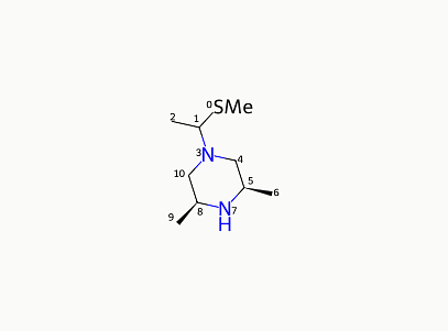 CSC(C)N1C[C@@H](C)N[C@@H](C)C1